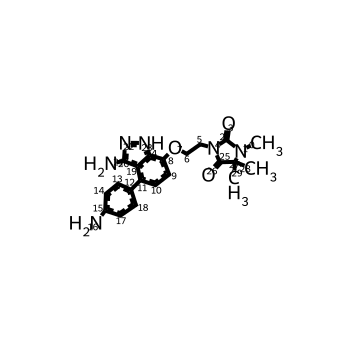 CN1C(=O)N(CCOc2ccc(-c3ccc(N)cc3)c3c(N)n[nH]c23)C(=O)C1(C)C